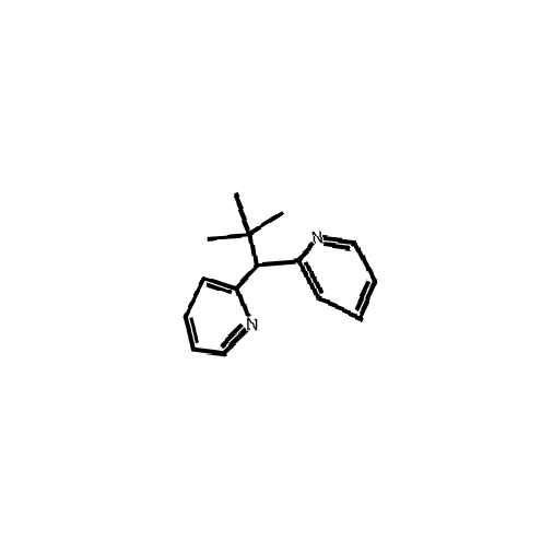 CC(C)(C)C(c1ccccn1)c1ccccn1